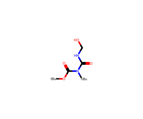 CCCCN(C(=O)NCO)C(=O)OC(C)(C)C